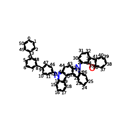 c1ccc(-c2cccc(-c3ccc(-n4c5ccccc5c5c6c7ccccc7n(-c7cccc8c7oc7ccccc78)c6ccc54)cc3)c2)cc1